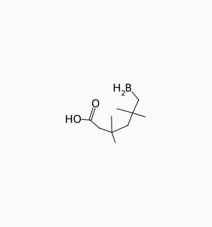 BCC(C)(C)CC(C)(C)CC(=O)O